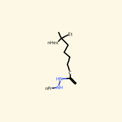 C=C(CCCCCC(C)(CC)CCCCCC)NNCCC